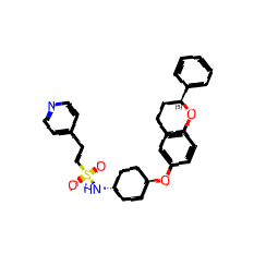 O=S(=O)(CCc1ccncc1)N[C@H]1CC[C@H](Oc2ccc3c(c2)CC[C@@H](c2ccccc2)O3)CC1